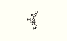 CC(C)(C)OC(=O)N(Cc1cc(OCc2ccc(Cl)cc2Br)cc(C(=O)O)c1)CC1CN(C(=O)OC(C)(C)C)C1